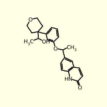 CC(Oc1cccc(C2(C(C)O)CCOCC2)c1)c1ccc2[nH]c(=O)ccc2c1